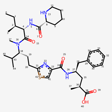 CC[C@H](C)[C@H](NC(=O)[C@H]1CCCCN1)C(=O)N(C)[C@H](CCc1nc(C(=O)N[C@@H](Cc2ccccc2)C[C@H](C)C(=O)O)cs1)C(C)C